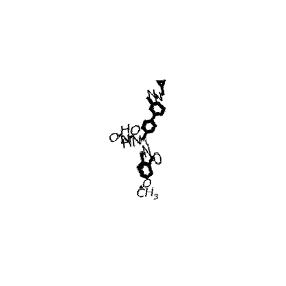 CCOc1ccc2c(c1)C(=O)N(C[C@H](NC(=O)NC=O)c1ccc(-c3ccc4c(cnn4CC4CC4)c3)cc1)C2